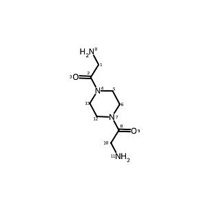 NCC(=O)N1CCN(C(=O)CN)CC1